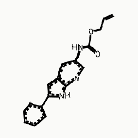 C=CCOC(=O)Nc1cnc2[nH]c(-c3ccccc3)cc2c1